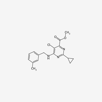 COC(=O)c1nc(C2CC2)nc(NCc2cccc(C)c2)c1Cl